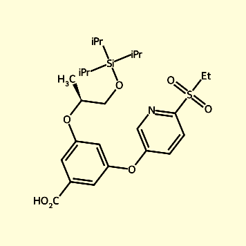 CCS(=O)(=O)c1ccc(Oc2cc(O[C@@H](C)CO[Si](C(C)C)(C(C)C)C(C)C)cc(C(=O)O)c2)cn1